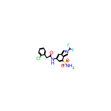 NS(=O)(=O)c1cc(NC(=O)Cc2ccccc2Cl)cc2cn(C(F)F)cc12